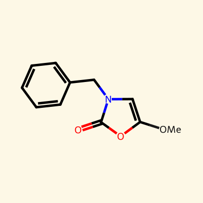 COc1cn(Cc2ccccc2)c(=O)o1